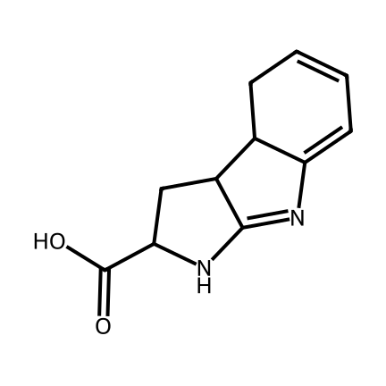 O=C(O)C1CC2C(=NC3=CC=CCC32)N1